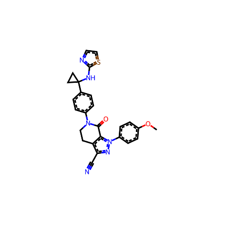 COc1ccc(-n2nc(C#N)c3c2C(=O)N(c2ccc(C4(Nc5nccs5)CC4)cc2)CC3)cc1